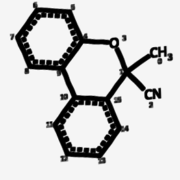 CC1(C#N)Oc2ccccc2-c2ccccc21